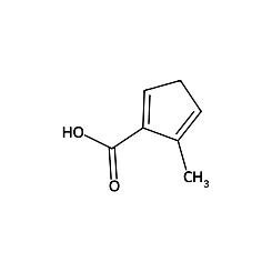 CC1=CCC=C1C(=O)O